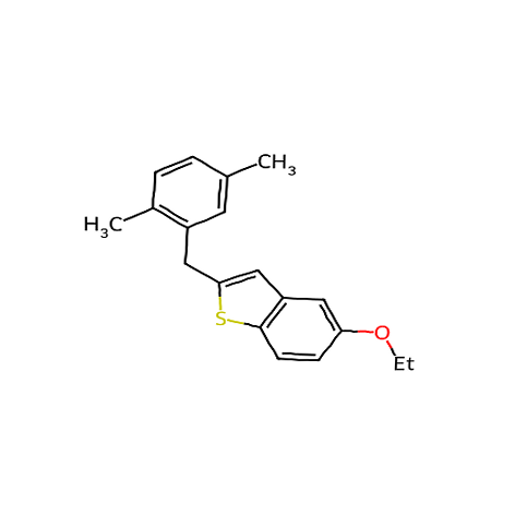 CCOc1ccc2sc(Cc3cc(C)ccc3C)cc2c1